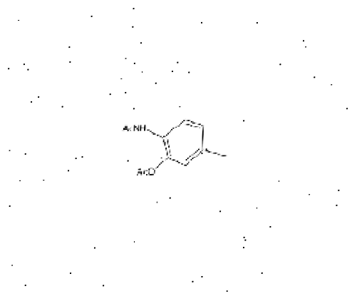 CC(=O)Nc1ccc(C)cc1OC(C)=O